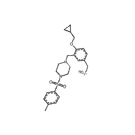 Cc1ccc(S(=O)(=O)N2CCN(Cc3cc(CC(=O)O)ccc3OCC3CC3)CC2)cc1